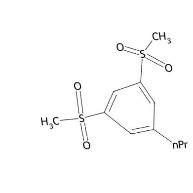 CCCc1cc(S(C)(=O)=O)cc(S(C)(=O)=O)c1